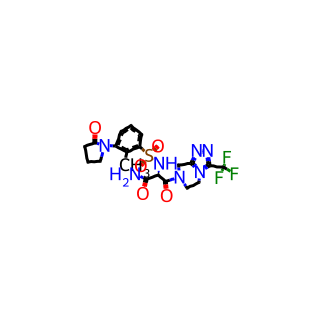 Cc1c(N2CCCC2=O)cccc1S(=O)(=O)N[C@@H](C(N)=O)C(=O)N1CCn2c(nnc2C(F)(F)F)C1